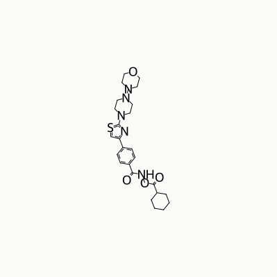 O=C(NOC(=O)C1CCCCC1)c1ccc(-c2csc(N3CCN(N4CCOCC4)CC3)n2)cc1